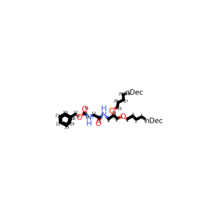 CCCCCCCCCCCCCCOCC(CNC(=O)CNC(=O)OCc1ccccc1)OCCCCCCCCCCCCCC